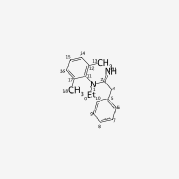 CCN(C(=N)Cc1ccccc1)c1c(C)cccc1C